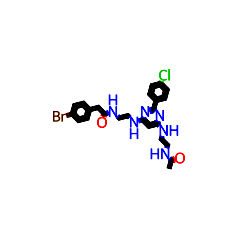 CC(=O)NCCNc1cc(NCCNC(=O)Cc2ccc(Br)cc2)nc(-c2ccc(Cl)cc2)n1